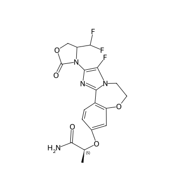 C[C@H](Oc1ccc2c(c1)OCCn1c-2nc(N2C(=O)OCC2C(F)F)c1F)C(N)=O